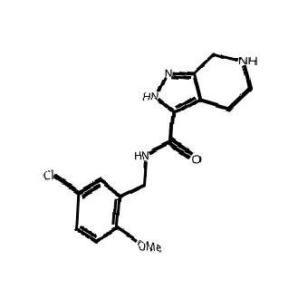 COc1ccc(Cl)cc1CNC(=O)c1[nH]nc2c1CCNC2